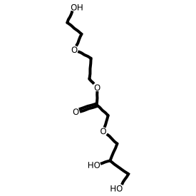 O=C(COCC(O)CO)OCCOCCO